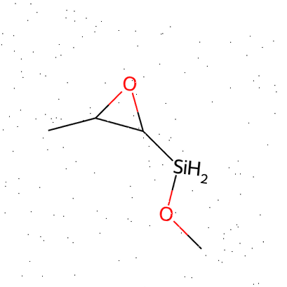 CO[SiH2]C1OC1C